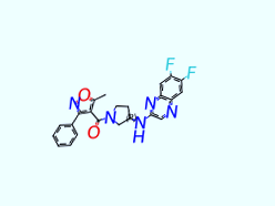 Cc1onc(-c2ccccc2)c1C(=O)N1CC[C@@H](Nc2cnc3cc(F)c(F)cc3n2)C1